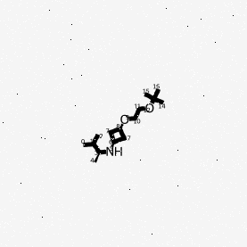 CC(C)[C@H](C)N[C@H]1C[C@@H](OCCOC(C)(C)C)C1